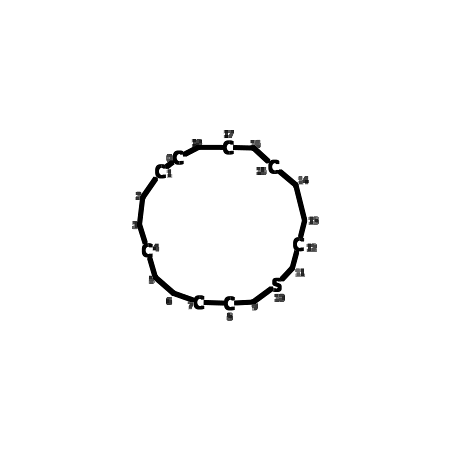 C1CCCCCCCCCSCCCCCCCC1